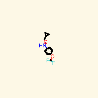 FC(F)Oc1ccc(NOCC2CC2)cc1